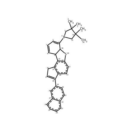 CC1(C)CB(C2=CC=CC3c4c(ccc5c4CC=C5c4ccc5ccccc5c4)SC23)CC1(C)C